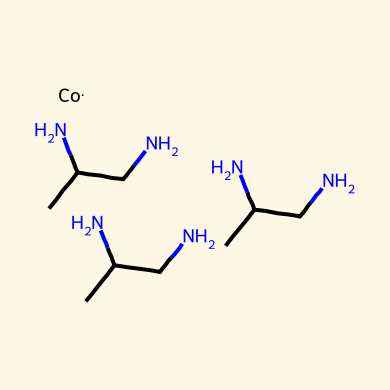 CC(N)CN.CC(N)CN.CC(N)CN.[Co]